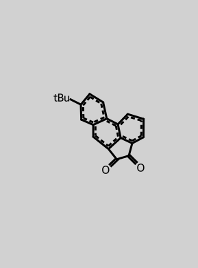 CC(C)(C)c1ccc2c(c1)cc1c3c(cccc32)C(=O)C1=O